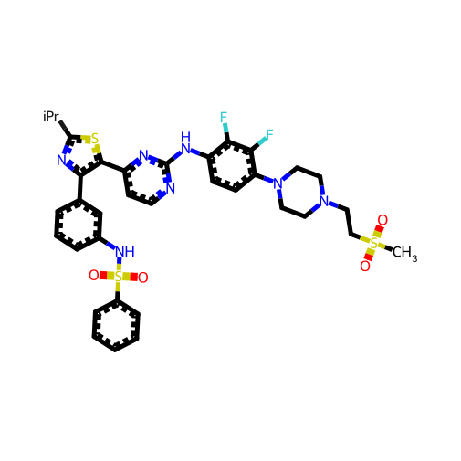 CC(C)c1nc(-c2cccc(NS(=O)(=O)c3ccccc3)c2)c(-c2ccnc(Nc3ccc(N4CCN(CCS(C)(=O)=O)CC4)c(F)c3F)n2)s1